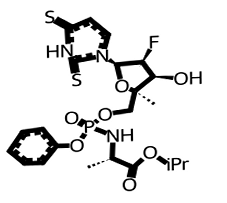 CC(C)OC(=O)[C@H](C)NP(=O)(OC[C@@]1(C)O[C@@H](n2ccc(=S)[nH]c2=S)[C@@H](F)[C@H]1O)Oc1ccccc1